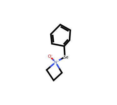 [O-][N+]1([Se]c2ccccc2)CCC1